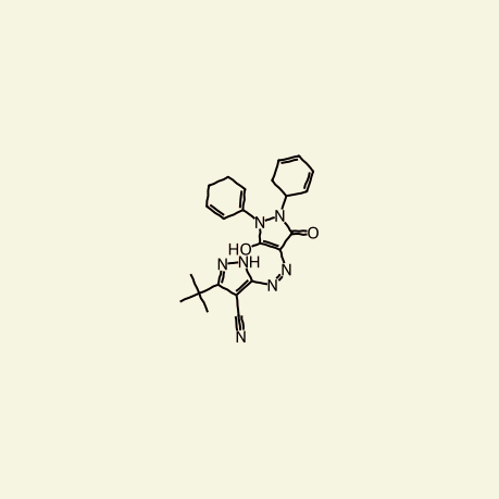 CC(C)(C)c1n[nH]c(/N=N\c2c(O)n(C3=CCCC=C3)n(C3C=CC=CC3)c2=O)c1C#N